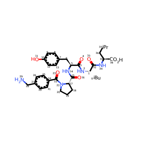 CC[C@H](C)[C@H](NC(=O)[C@H](Cc1ccc(O)cc1)NC(=O)[C@@H]1CCCN1C(=O)c1ccc(CN)cc1)C(=O)N[C@@H](CC(C)C)C(=O)O